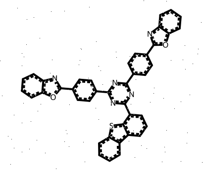 c1ccc2oc(-c3ccc(-c4nc(-c5ccc(-c6nc7ccccc7o6)cc5)nc(-c5cccc6c5sc5ccccc56)n4)cc3)nc2c1